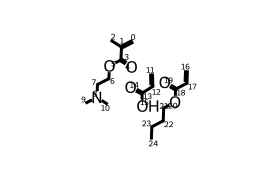 C=C(C)C(=O)OCCN(C)C.C=CC(=O)O.C=CC(=O)OCCCC